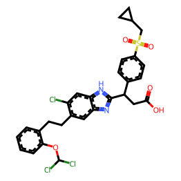 O=C(O)CC(c1ccc(S(=O)(=O)CC2CC2)cc1)c1nc2cc(CCc3ccccc3OC(Cl)Cl)c(Cl)cc2[nH]1